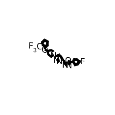 Fc1ccc(-c2nnc(-c3ccc(N4CCC(Oc5ccccc5C(F)(F)F)CC4)nn3)o2)cc1